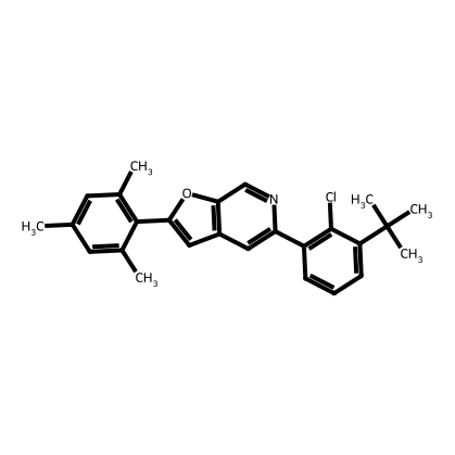 Cc1cc(C)c(-c2cc3cc(-c4cccc(C(C)(C)C)c4Cl)ncc3o2)c(C)c1